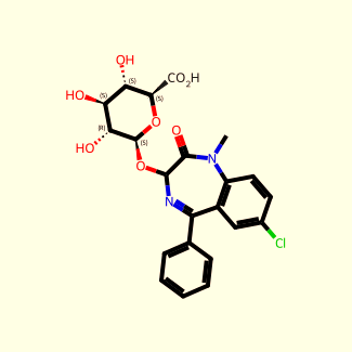 CN1C(=O)C(O[C@@H]2O[C@H](C(=O)O)[C@@H](O)[C@H](O)[C@H]2O)N=C(c2ccccc2)c2cc(Cl)ccc21